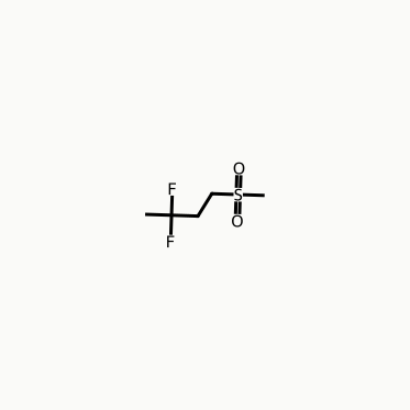 CC(F)(F)CCS(C)(=O)=O